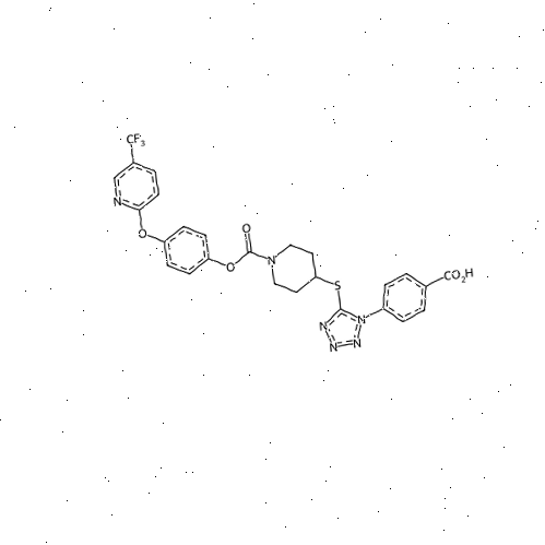 O=C(O)c1ccc(-n2nnnc2SC2CCN(C(=O)Oc3ccc(Oc4ccc(C(F)(F)F)cn4)cc3)CC2)cc1